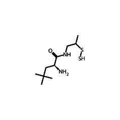 CC(CNC(=O)[C@@H](N)CC(C)(C)C)SS